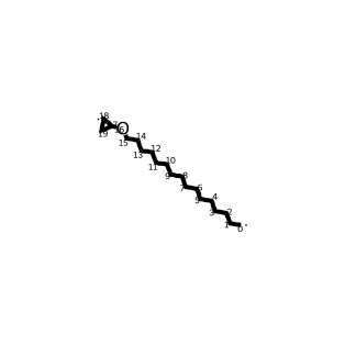 [CH2]CCCCCCCCCCCCCCCOC1[CH]C1